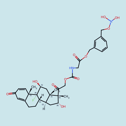 C[C@]12C=CC(=O)C=C1CC[C@H]1[C@@H]3C[C@@H](O)[C@@](C)(C(=O)COC(=O)NCC(=O)OCc4cccc(CON(O)O)c4)[C@@]3(C)C[C@H](O)[C@@]12F